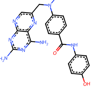 CN(Cc1cnc2nc(N)nc(N)c2n1)c1ccc(C(=O)Nc2ccc(O)cc2)cc1